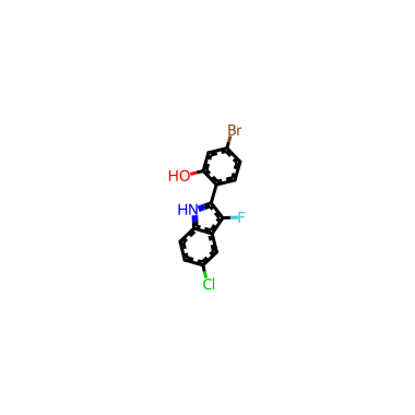 Oc1cc(Br)ccc1-c1[nH]c2ccc(Cl)cc2c1F